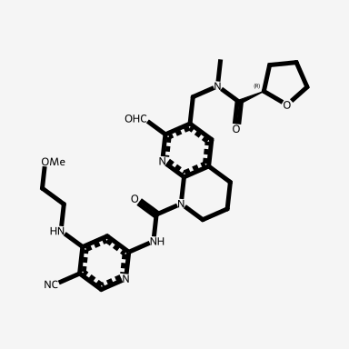 COCCNc1cc(NC(=O)N2CCCc3cc(CN(C)C(=O)[C@H]4CCCO4)c(C=O)nc32)ncc1C#N